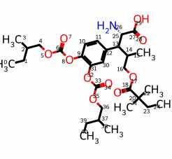 CCC(C)COC(=O)Oc1ccc(C(C(C)COC(=O)C(C)(C)CC)[C@H](N)C(=O)O)cc1OC(=O)OCC(C)CC